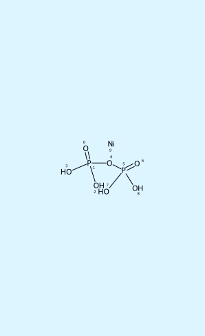 O=P(O)(O)OP(=O)(O)O.[Ni]